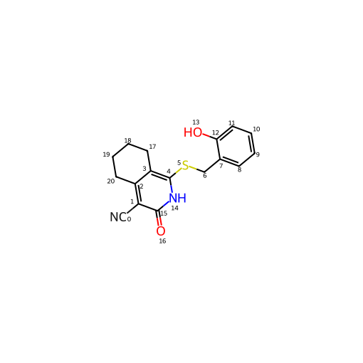 N#Cc1c2c(c(SCc3ccccc3O)[nH]c1=O)CCCC2